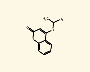 CC(C)C(C)Oc1cc(=O)oc2ccccc12